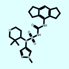 Cn1cc(N(C2CCOCC2(C)C)S(=O)(=O)NC(=O)Nc2c3c(cc4c2CCC4)CCC3)cn1